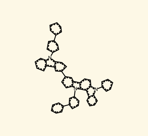 c1ccc(-c2ccc(-n3c4ccccc4c4cc(-c5ccc6c(c5)c5ccc7c(c8ccccc8n7-c7ccccc7)c5n6-c5cccc(-c6ccccc6)c5)ccc43)cc2)cc1